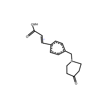 COC(=O)/C=C/c1ccc(CN2CCC(=O)CC2)cc1